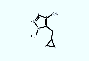 Cc1cnn(C)c1CC1CC1